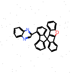 c1ccc2c(c1)-c1oc3ccccc3c1C21c2ccccc2-c2c(-c3cnc4ccccc4n3)cccc21